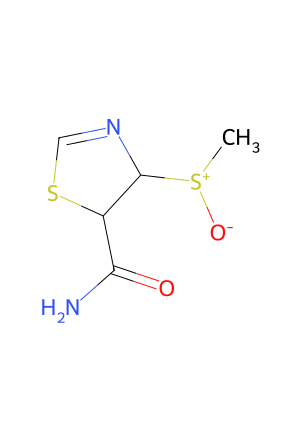 C[S+]([O-])C1N=CSC1C(N)=O